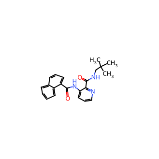 CC(C)(C)CNC(=O)c1ncccc1NC(=O)c1cccc2ccccc12